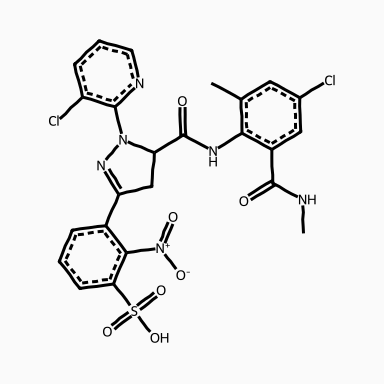 CNC(=O)c1cc(Cl)cc(C)c1NC(=O)C1CC(c2cccc(S(=O)(=O)O)c2[N+](=O)[O-])=NN1c1ncccc1Cl